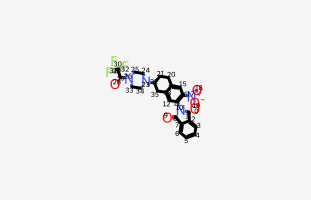 O=C1c2ccccc2C(=O)N1c1cc2c(cc1[N+](=O)[O-])CCC(N1CCN(C(=O)C(F)(F)F)CC1)C2